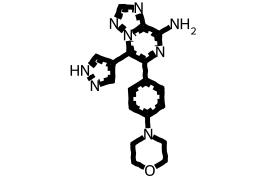 Nc1nc(-c2ccc(N3CCOCC3)cc2)c(-c2cn[nH]c2)n2ncnc12